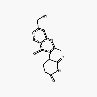 Cc1nc2cc(CC(C)C)ccc2c(=O)n1C1CCC(=O)NC1=O